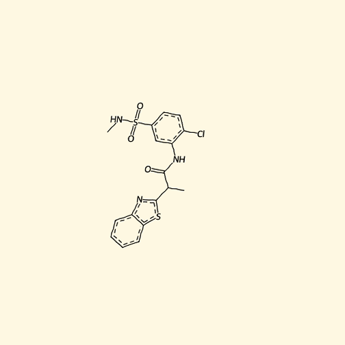 CNS(=O)(=O)c1ccc(Cl)c(NC(=O)C(C)c2nc3ccccc3s2)c1